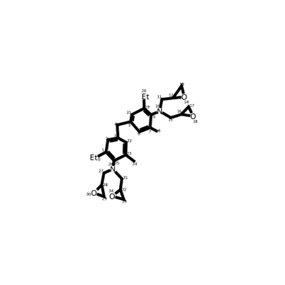 CCc1cc(Cc2cc(C)c(N(CC3CO3)CC3CO3)c(CC)c2)cc(C)c1N(CC1CO1)CC1CO1